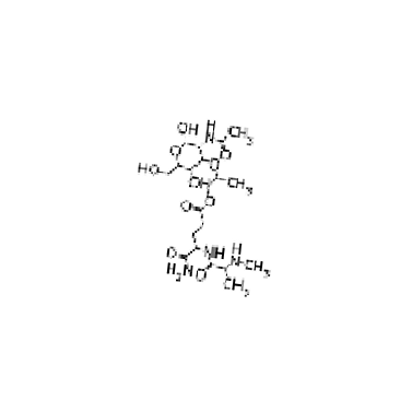 CN[C@@H](C)C(=O)N[C@H](CCC(=O)OCC(C)O[C@H]1[C@H](O)[C@@H](CO)O[C@H](O)[C@@H]1NC(C)=O)C(N)=O